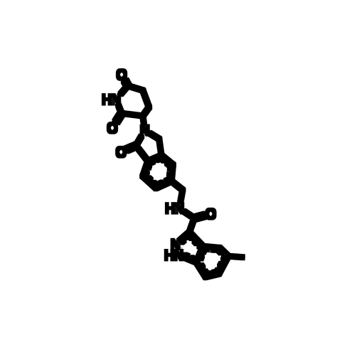 Cc1ccc2[nH]nc(C(=O)NCc3ccc4c(c3)CN(C3CCC(=O)NC3=O)C4=O)c2c1